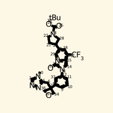 Cn1cnnc1CC1(c2cccc(-n3cc4c(C(F)(F)F)cc(C5CCN(C(=O)OC(C)(C)C)C5)cn4c3=O)c2)COC1